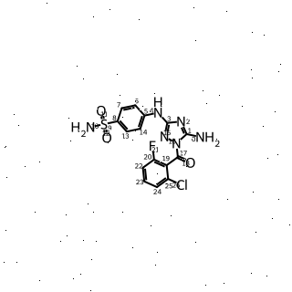 Nc1nc(Nc2ccc(S(N)(=O)=O)cc2)nn1C(=O)c1c(F)cccc1Cl